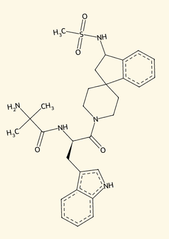 CC(C)(N)C(=O)N[C@H](Cc1c[nH]c2ccccc12)C(=O)N1CCC2(CC1)CC(NS(C)(=O)=O)c1ccccc12